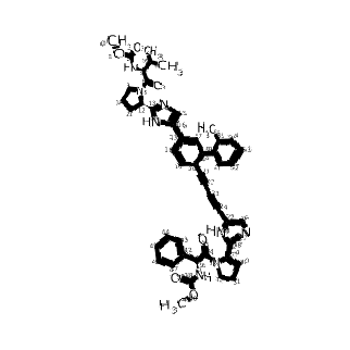 COC(=O)N[C@H](C(=O)N1CCC[C@H]1c1ncc(-c2ccc(C#CC#Cc3cnc(C4CCCN4C(=O)[C@H](NC(=O)OC)c4ccccc4)[nH]3)c(-c3ccccc3C)c2)[nH]1)C(C)C